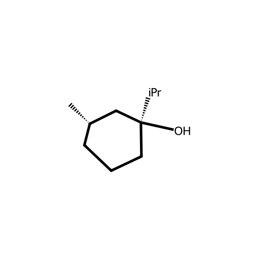 CC(C)[C@]1(O)CCC[C@H](C)C1